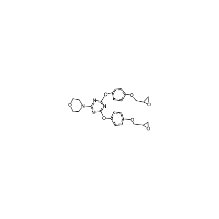 c1cc(Oc2nc(Oc3ccc(OCC4CO4)cc3)nc(N3CCOCC3)n2)ccc1OCC1CO1